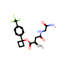 C=C(CC(=O)NCC(N)=O)C(=O)OC1(c2ccc(C(F)(F)F)cc2)CCC1